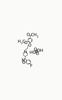 COc1cc(C(C)=O)ccc1OCCCN1CCC(c2noc3cc(F)ccc23)CC1.O=S(=O)(O)O